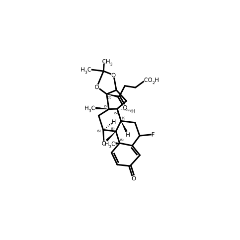 CC1(C)OC2C[C@H]3[C@@H]4CC(F)C5=CC(=O)C=C[C@]5(C)[C@@]45O[C@H]5C[C@]3(C)[C@]2(C(=O)CCC(=O)O)O1